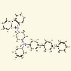 C1=CC2c3ccccc3N(c3ccc(N(c4ccccc4)c4ccc(-c5ccc(-c6ccccc6)cc5)cc4)cc3)C2C=C1